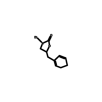 CCN1CC(CC2=CCCC=C2)OC1=O